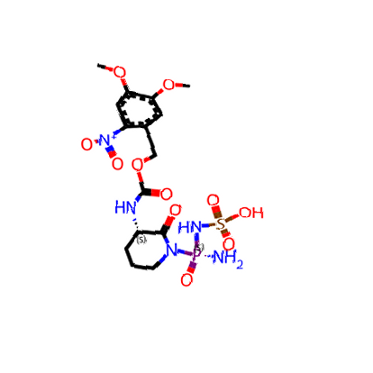 COc1cc(COC(=O)N[C@H]2CCCN([P@](N)(=O)NS(=O)(=O)O)C2=O)c([N+](=O)[O-])cc1OC